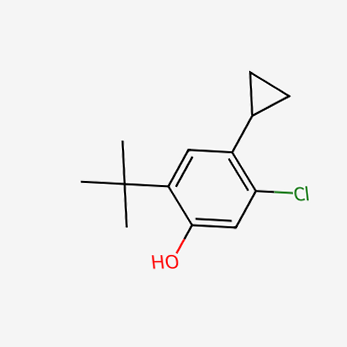 CC(C)(C)c1cc(C2CC2)c(Cl)cc1O